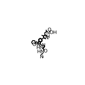 Cc1c(CC(C)NC(=O)O)cncc1-c1ccc2c(c1)c(-c1ncc(C(=O)NCCN(C)C)[nH]1)nn2C1CCCCO1